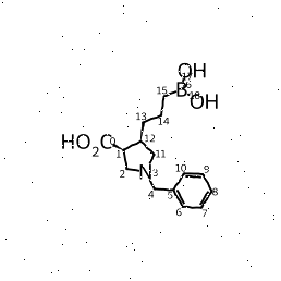 O=C(O)[C@@H]1CN(Cc2ccccc2)C[C@@H]1CCCB(O)O